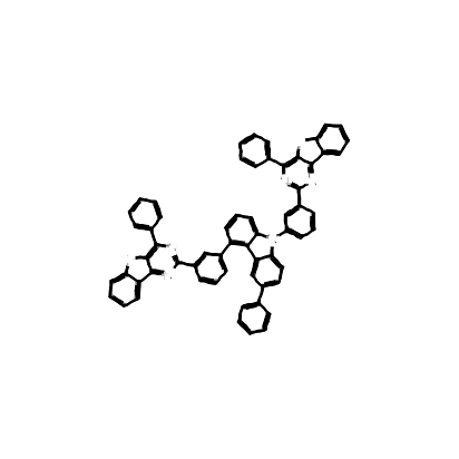 c1ccc(-c2ccc3c(c2)c2c(-c4cccc(-c5nc(-c6ccccc6)c6sc7ccccc7c6n5)c4)cccc2n3-c2cccc(-c3nc(-c4ccccc4)c4sc5ccccc5c4n3)c2)cc1